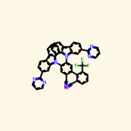 N#Cc1cc(-n2c3ccccc3c3ccc(-c4ncccn4)cc32)c(-n2c3ccccc3c3ccc(-c4ncccn4)cc32)cc1-c1c(C#N)cccc1C(F)(F)F